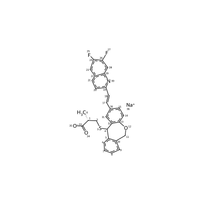 C[C@H](CSC1c2ccccc2COc2ccc(C=Cc3ccc4cc(F)c(F)cc4n3)cc21)C(=O)[O-].[Na+]